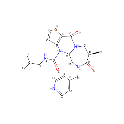 CC(C)CNC(=O)N1c2ccsc2C(=O)N2C[C@@H](C)C(=O)N(Cc3ccncc3)CC21